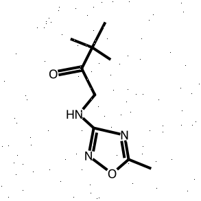 Cc1nc(NCC(=O)C(C)(C)C)no1